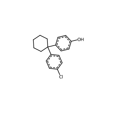 Oc1ccc(C2(c3ccc(Cl)cc3)CCCCC2)cc1